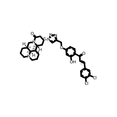 O=C(/C=C/c1ccc(Cl)c(Cl)c1)c1ccc(OCc2cn([C@H]3CC(=O)N4C[C@@H]5CCCN6CCC[C@@H]([C@H]56)[C@H]4C3)nn2)cc1O